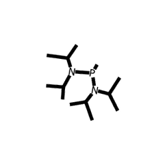 CC(C)N(C(C)C)P(C)N(C(C)C)C(C)C